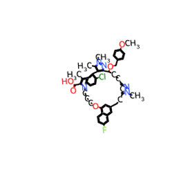 COc1ccc(COC2CCc3cc(n(C)n3)CCc3cc(c4ccc(F)cc4c3)OCCCn3c(C(=O)O)c(C)c4c(c(Cl)ccc43)-c3c2nn(C)c3C)cc1